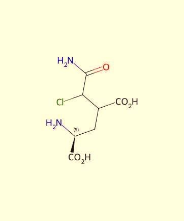 NC(=O)C(Cl)C(C[C@H](N)C(=O)O)C(=O)O